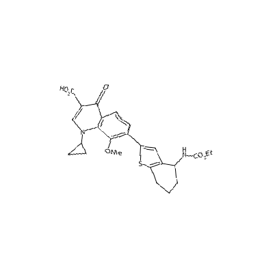 CCOC(=O)NC1CCCc2sc(-c3ccc4c(=O)c(C(=O)O)cn(C5CC5)c4c3OC)cc21